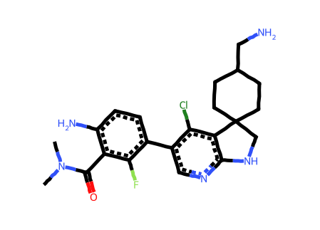 CN(C)C(=O)c1c(N)ccc(-c2cnc3c(c2Cl)C2(CCC(CN)CC2)CN3)c1F